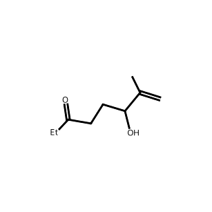 C=C(C)C(O)CCC(=O)CC